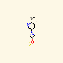 O=[N+]([O-])c1ccc(N2CC(OS)C2)cn1